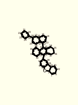 C1=CC2Oc3ccc(-c4c5c(c(-c6cccc7cc(-c8ccccc8)ccc67)c6ccccc46)=CCCC=5)cc3C2C=C1